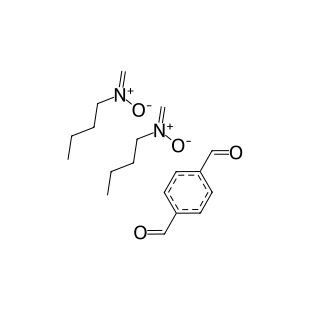 C=[N+]([O-])CCCC.C=[N+]([O-])CCCC.O=Cc1ccc(C=O)cc1